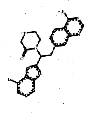 Nc1ncnc2cc(CC(c3cc4c(F)cccc4s3)N3CCNCC3=O)ccc12